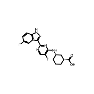 O=C(O)[C@H]1CCC[C@@H](Nc2nc(-c3n[nH]c4ccc(F)cc34)ncc2F)C1